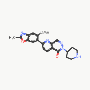 COc1cc2nc(C)oc2cc1-c1ccc2c(=O)n(C3CCNCC3)ncc2n1